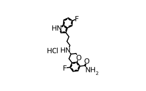 Cl.NC(=O)c1ccc(F)c2c1OCC(NCCCc1c[nH]c3ccc(F)cc13)C2